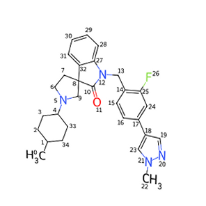 CC1CCC(N2CCC3(C2)C(=O)N(Cc2ccc(-c4cnn(C)c4)cc2F)c2ccccc23)CC1